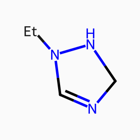 CCN1C=NCN1